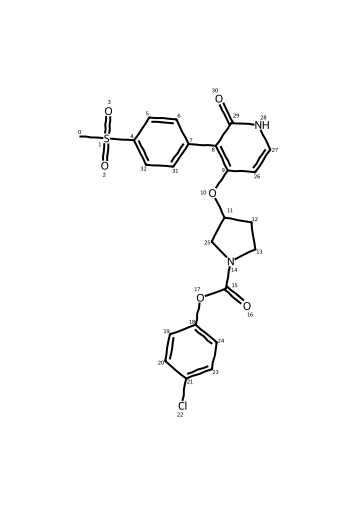 CS(=O)(=O)c1ccc(-c2c(OC3CCN(C(=O)Oc4ccc(Cl)cc4)C3)cc[nH]c2=O)cc1